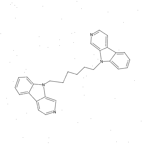 c1ccc2c(c1)c1ccncc1n2CCCCCCn1c2ccccc2c2ccncc21